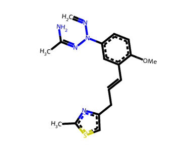 C=NN(/N=C(/C)N)c1ccc(OC)c(/C=C/Cc2csc(C)n2)c1